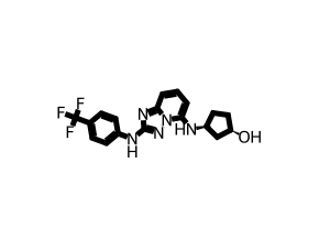 O[C@H]1CC[C@H](Nc2cccc3nc(Nc4ccc(C(F)(F)F)cc4)nn23)C1